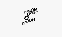 CCCC(O)c1cccc(OCC(O)(CCC)CCC)c1